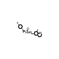 Cc1cc(C=NNC(=O)[C@@H]2C[C@H]2c2ccc(F)cc2)cc2cccnc12